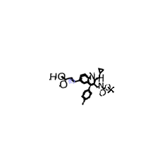 Cc1ccc(-c2c(CNC(=O)OC(C)(C)C)c(CC3CC3)nc3ccc(/C=C/C(=O)O)cc23)cc1